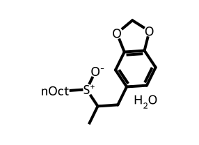 CCCCCCCC[S+]([O-])C(C)Cc1ccc2c(c1)OCO2.O